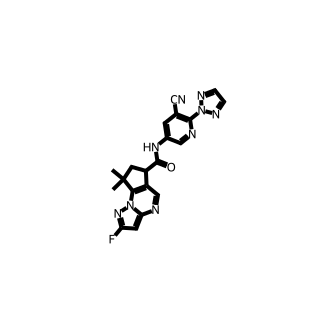 CC1(C)CC(C(=O)Nc2cnc(-n3nccn3)c(C#N)c2)c2cnc3cc(F)nn3c21